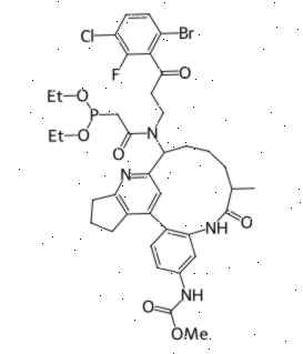 CCOP(CC(=O)N(CCC(=O)c1c(Br)ccc(Cl)c1F)C1CCCC(C)C(=O)Nc2cc(NC(=O)OC)ccc2-c2cc1nc1c2CCC1)OCC